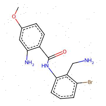 COc1ccc(C(=O)Nc2cccc(Br)c2CN)c(N)c1